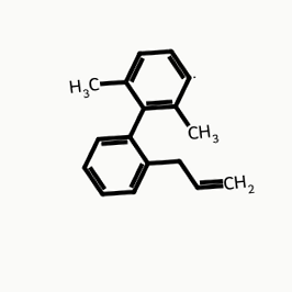 C=CCc1ccccc1-c1c(C)[c]ccc1C